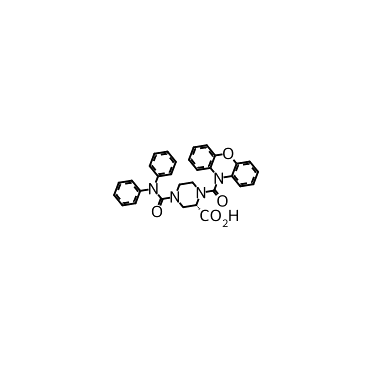 O=C(O)[C@@H]1CN(C(=O)N(c2ccccc2)c2ccccc2)CCN1C(=O)N1c2ccccc2Oc2ccccc21